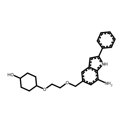 Nc1cc(COCCOC2CCC(O)CC2)cc2cc(-c3ccccc3)[nH]c12